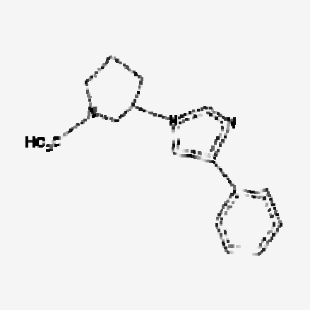 O=C(O)N1CCCC(n2cnc(-c3ccccc3)c2)C1